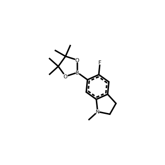 CN1CCc2cc(F)c(B3OC(C)(C)C(C)(C)O3)cc21